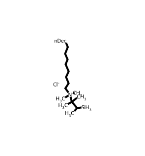 CCCCCCCCCCCCCCCCCC[N+](C)(C)C(C)(C)C(C)[SiH3].[Cl-]